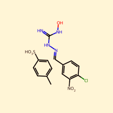 Cc1ccc(S(=O)(=O)O)cc1.N=C(NO)NN=Cc1ccc(Cl)c([N+](=O)[O-])c1